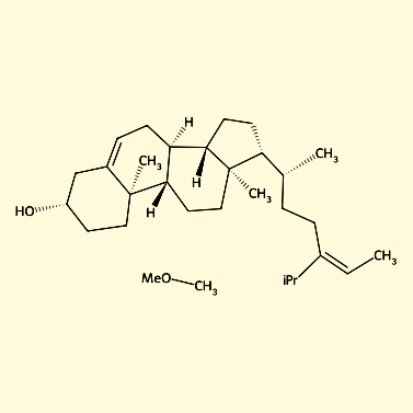 C/C=C(\CC[C@@H](C)[C@H]1CC[C@H]2[C@@H]3CC=C4C[C@@H](O)CC[C@]4(C)[C@H]3CC[C@]12C)C(C)C.COC